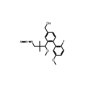 COc1ccc(F)c(-c2ccc(CO)cc2C(OC)C(C)(C)CN=[N+]=[N-])c1